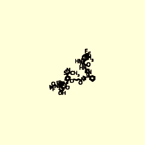 Cc1ncsc1-c1ccc(CNC(=O)[C@@H]2C[C@@H](O)CN2C(=O)[C@@H](NC(=O)C2(F)CC2)C(C)(C)C)c(OCCCC(=O)N2CC([C@@H](c3ccccc3)n3cc(NC(=O)c4n[nH]c5c4C[C@@H]4C(F)(F)[C@]4(C)C5)cn3)C2)c1